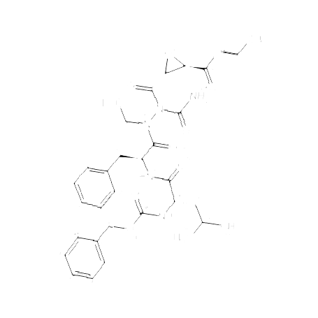 CCOC(=O)[C@@H]1O[C@H]1C(=O)N(C(N)=O)N(CC)C(=O)[C@H](Cc1ccccc1)NC(=O)[C@H](CC(C)C)NC(=O)OCc1ccccc1